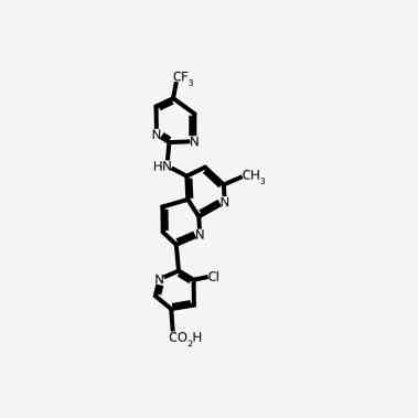 Cc1cc(Nc2ncc(C(F)(F)F)cn2)c2ccc(-c3ncc(C(=O)O)cc3Cl)nc2n1